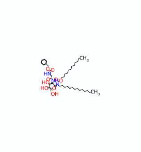 CCCCCCCCCCCCCCN(C(=O)OCCCCCCCCCCCC)[C@@H]1O[C@H](CO)[C@H](O)[C@H](O)[C@H]1NC(=O)CNC(=O)OCc1ccccc1